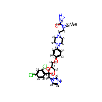 CSN(CCN1CCN(c2ccc(OCC3COC(Cn4ccnc4)(c4ccc(Cl)cc4Cl)O3)cc2)CC1)C(N)=O